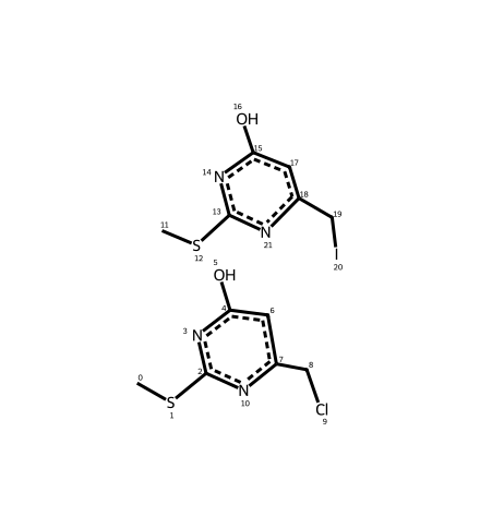 CSc1nc(O)cc(CCl)n1.CSc1nc(O)cc(CI)n1